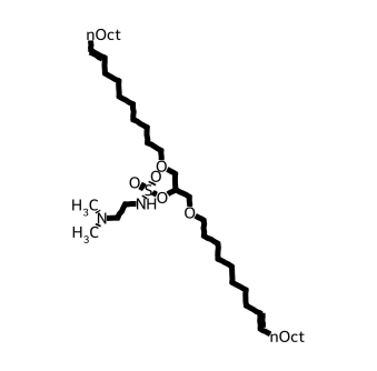 CCCCCCCCC=CCCCCCCCCOCC(COCCCCCCCCC=CCCCCCCCC)OS(=O)(=O)NCCN(C)C